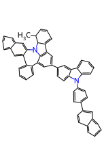 CC1C=CC=C2c3cc(-c4ccc5c(c4)c4ccccc4n5-c4ccc(-c5ccc6ccccc6c5)cc4)cc4c3N(c3cc5ccccc5cc3-c3ccccc3-4)C21